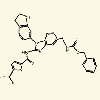 O=C(NCc1ccc2c(c1)nc(NC(=O)c1ccc(C(F)F)s1)n2-c1ccc2c(c1)NCC2)OCc1ccccc1